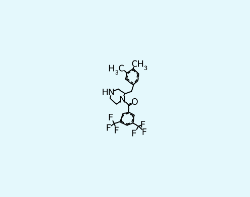 Cc1ccc(CC2CNCCN2C(=O)c2cc(C(F)(F)F)cc(C(F)(F)F)c2)cc1C